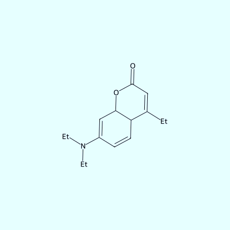 CCC1=CC(=O)OC2C=C(N(CC)CC)C=CC12